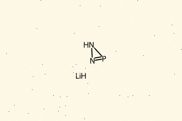 N1=PN1.[LiH]